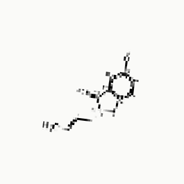 CC=CC[C@H]1Cc2ccc(O)cc2C1=O